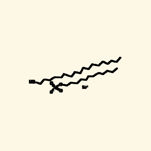 CCCCCCCCCCCCCCCCCCO.CCCCCCCCCCCCOS(=O)(=O)[O-].[Na+]